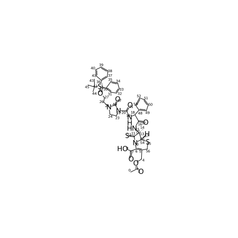 CC(=O)OCC1=C(C(=O)O)N2C(=S)[C@@](C)(NC(=O)C(NC(=O)N3CCN(CCO[Si](c4ccccc4)(c4ccccc4)C(C)(C)C)C3=O)c3ccccc3)[C@@H]2SC1